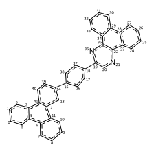 c1ccc2c(c1)c1ccccc1c1cc(-c3ccc(-c4cnc5c6ccccc6c6ccccc6c5n4)cc3)ccc21